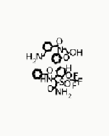 NC(=O)C1SC2C=CC=CC2C1NC(=O)c1ccccc1.NCc1cccc(C(=O)N(CC(=O)O)c2ccccc2)c1.O=C(O)C(F)(F)F